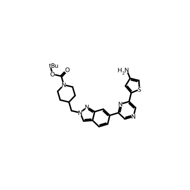 CC(C)(C)OC(=O)N1CCC(Cn2cc3ccc(-c4cncc(-c5cc(N)cs5)n4)cc3n2)CC1